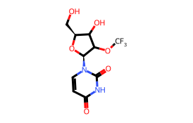 O=c1ccn([C@H]2O[C@@H](CO)C(O)C2OC(F)(F)F)c(=O)[nH]1